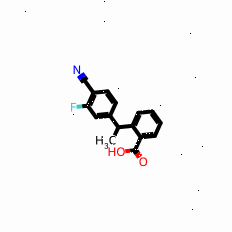 CC(c1ccc(C#N)c(F)c1)c1ccccc1C(=O)O